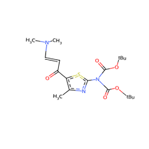 Cc1nc(N(C(=O)OC(C)(C)C)C(=O)OC(C)(C)C)sc1C(=O)/C=C/N(C)C